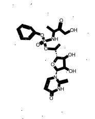 C=C1NC(=O)C=CN1[C@@H]1O[C@H](C(C)OP(=O)(NC(C)C(=O)CO)Oc2ccccc2)C(O)C1O